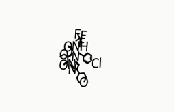 COc1c(C(=O)NCC(F)(F)F)n(Cc2ccc(Cl)cc2)c2cc(C3CCOCC3)nn2c1=O